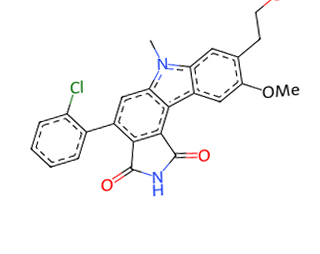 COc1cc2c3c4c(c(-c5ccccc5Cl)cc3n(C)c2cc1CCO)C(=O)NC4=O